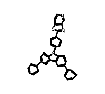 c1ccc(-c2ccc3c(c2)c2cc(-c4ccccc4)ccc2n3-c2ccc(-c3nc4cnccc4s3)cc2)cc1